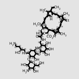 C=Cc1c(C)c2cc3nc(c(CC(=O)O)c4[nH]c(cc5nc(cc1[nH]2)C(C)=C5CC)c(C)c4C(=O)O)[C@@H](CCC(=O)NCC1OC(OC2C(N)CC(NC[C@H](O)CCN)C(OC4OC(CO)C(O)C(N)C4O)C2O)C(O)C(O)C1O)[C@@H]3C